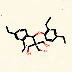 CCc1ccc(OC(c2ccc(CC)cc2CC)C(CO)(CO)CO)c(CC)c1